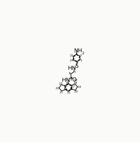 Nc1ccc(SNCCC(=O)Nc2c3c(cc4c2CCC4)CCC3)cc1